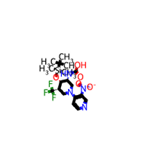 CC(C)(C)[Si](C)(C)O[C@@H]1[C@H](NC(=O)O)CN(c2ccncc2[N+](=O)[O-])C[C@@H]1C(F)(F)F